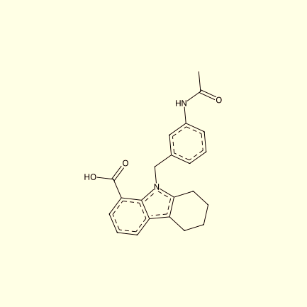 CC(=O)Nc1cccc(Cn2c3c(c4cccc(C(=O)O)c42)CCCC3)c1